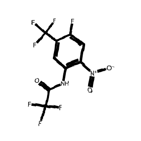 O=C(Nc1cc(C(F)(F)F)c(F)cc1[N+](=O)[O-])C(F)(F)F